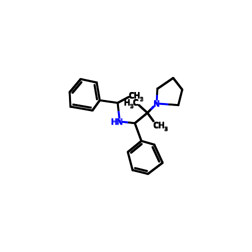 CC(NC(c1ccccc1)C(C)(C)N1CCCC1)c1ccccc1